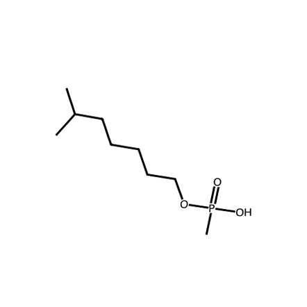 CC(C)CCCCCOP(C)(=O)O